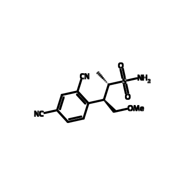 COC[C@@H](c1ccc(C#N)cc1C#N)[C@H](C)S(N)(=O)=O